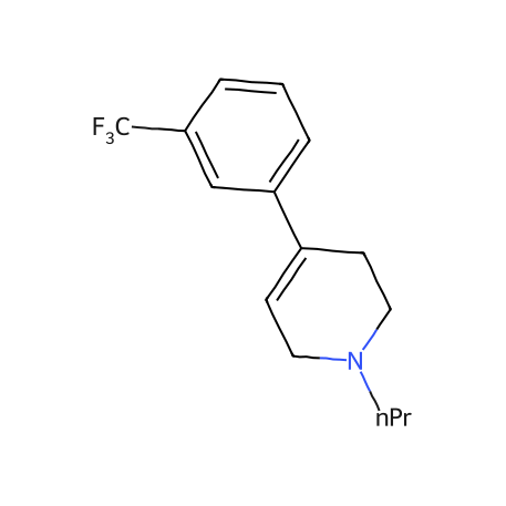 CCCN1CC=C(c2cccc(C(F)(F)F)c2)CC1